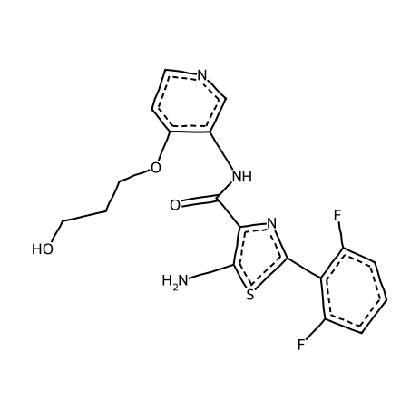 Nc1sc(-c2c(F)cccc2F)nc1C(=O)Nc1cnccc1OCCCO